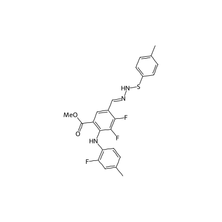 COC(=O)c1cc(/C=N/NSc2ccc(C)cc2)c(F)c(F)c1Nc1ccc(C)cc1F